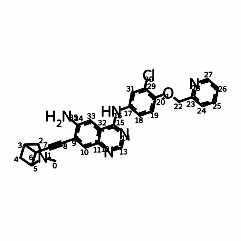 CN1CC2CC1C2C#Cc1cc2ncnc(Nc3ccc(OCc4ccccn4)c(Cl)c3)c2cc1N